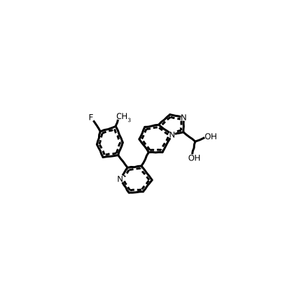 Cc1cc(-c2ncccc2-c2ccc3cnc(C(O)O)n3c2)ccc1F